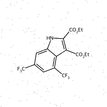 CCOC(=O)c1[nH]c2cc(C(F)(F)F)cc(C(F)(F)F)c2c1C(=O)OCC